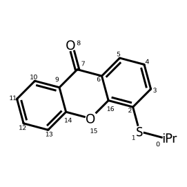 CC(C)Sc1cccc2c(=O)c3ccccc3oc12